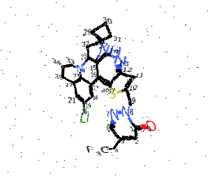 O=c1cc(CC(F)(F)F)cnn1Cc1cc2nccc(-c3cc(Cl)cc4c3N(C3CNC5(CCC5)C3)CCC4)c2s1